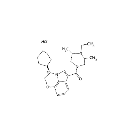 CCN1C(C)CN(C(=O)c2cn3c4c(cccc24)OC[C@H]3C2CCCCC2)CC1C.Cl